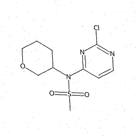 CS(=O)(=O)N(c1ccnc(Cl)n1)C1CCCOC1